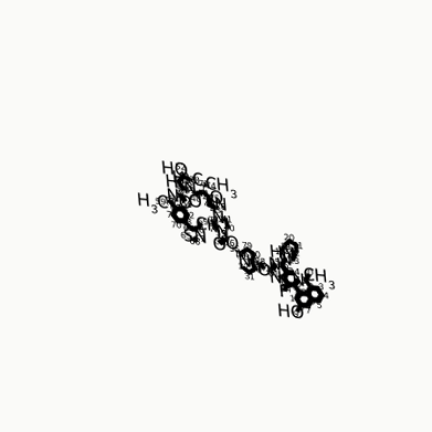 CCc1cccc2cc(O)cc(-c3ncc4c(N5CC6CCC(C5)N6)nc(OC[C@]56CCCN5[C@H](COC(=O)N5CCN(c7cc([C@H](C(=O)N8C[C@H](O)C[C@H]8C(=O)N[C@@H](C)c8ccc(-c9scnc9C)cc8)C(C)C)on7)CC5)CC6)nc4c3F)c12